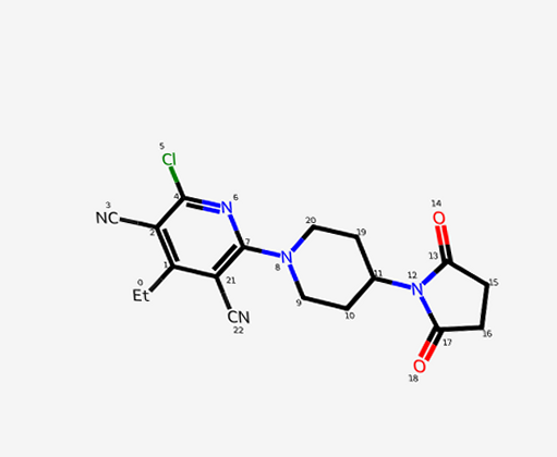 CCc1c(C#N)c(Cl)nc(N2CCC(N3C(=O)CCC3=O)CC2)c1C#N